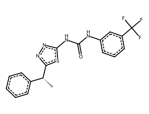 C[C@H](c1ccccc1)c1nnc(NC(=O)Nc2cccc(C(F)(F)F)c2)s1